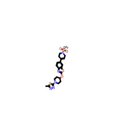 CCCS(=O)(=O)N1CC=C(c2ccc3nc(OC4CCN(c5nnc(C)s5)CC4)sc3c2)CC1